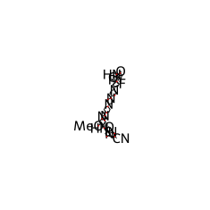 COc1cc2nn([C@H]3CC[C@H](N4CCN(C5CCN(c6cc(F)c([C@H]7CCC(=O)NC7=O)c(F)c6)CC5)CC4)CC3)cc2cc1NC(=O)c1ccc2cc(C#N)cnn12